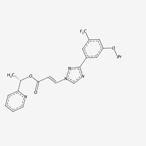 CC(C)Oc1cc(-c2ncn(C=CC(=O)O[C@@H](C)c3ccccn3)n2)cc(C(F)(F)F)c1